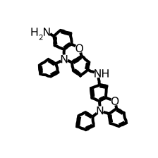 Nc1ccc2c(c1)N(c1ccccc1)c1ccc(Nc3ccc4c(c3)Oc3ccccc3N4c3ccccc3)cc1O2